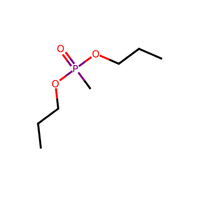 CCCOP(C)(=O)OCCC